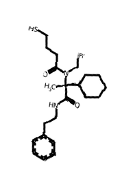 CC(C)CN(C(=O)CCCS)[C@@](C)(C(=O)NCCc1ccccc1)C1CCCCC1